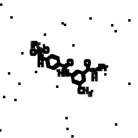 Cc1cc(NC(=O)c2ccc(NS(=O)(=O)C(C)C)cc2)cc(C(=O)NC(C)C)c1